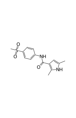 Cc1cc(C(=O)Nc2ccc(S(C)(=O)=O)cc2)c(C)[nH]1